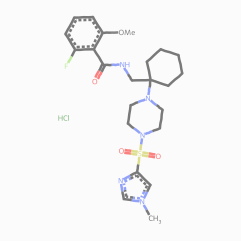 COc1cccc(F)c1C(=O)NCC1(N2CCN(S(=O)(=O)c3cn(C)cn3)CC2)CCCCC1.Cl